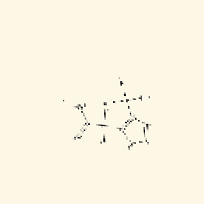 COC(=O)C(C)(C)c1sccc1C(F)(F)F